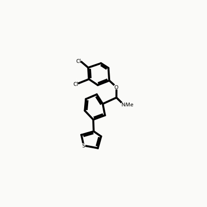 CNC(Oc1ccc(Cl)c(Cl)c1)c1cccc(-c2ccsc2)c1